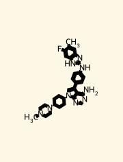 Cc1cc2nc(Nc3ccc(-c4cn([C@H]5CC[C@@H](N6CCN(C)CC6)CC5)c5ncnc(N)c45)cc3)[nH]c2cc1F